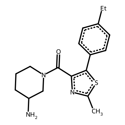 CCc1ccc(-c2sc(C)nc2C(=O)N2CCCC(N)C2)cc1